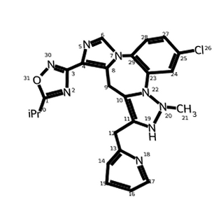 CC(C)c1nc(-c2ncn3c2CC2=C(Cc4ccccn4)NN(C)N2c2cc(Cl)ccc2-3)no1